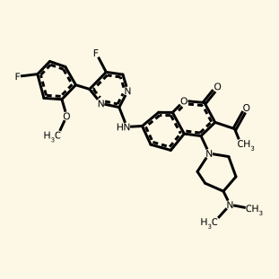 COc1cc(F)ccc1-c1nc(Nc2ccc3c(N4CCC(N(C)C)CC4)c(C(C)=O)c(=O)oc3c2)ncc1F